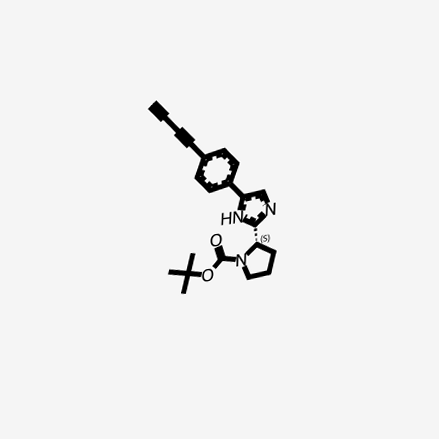 C#CC#Cc1ccc(-c2cnc([C@@H]3CCCN3C(=O)OC(C)(C)C)[nH]2)cc1